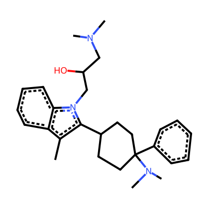 Cc1c(C2CCC(c3ccccc3)(N(C)C)CC2)n(CC(O)CN(C)C)c2ccccc12